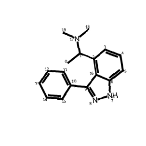 CC(c1cccc2[nH]nc(-c3ccccc3)c12)N(C)C